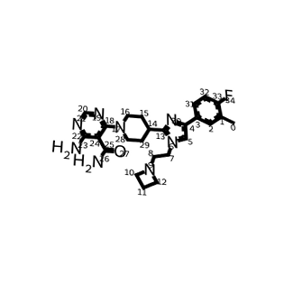 Cc1cc(-c2cn(CCN3CCC3)c(C3CCN(c4ncnc(N)c4C(N)=O)CC3)n2)ccc1F